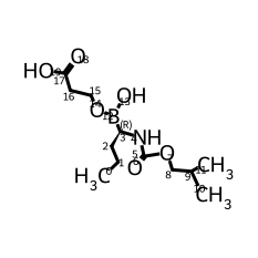 CCC[C@H](NC(=O)OCC(C)C)B(O)OCCC(=O)O